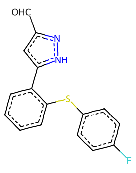 O=Cc1cc(-c2ccccc2Sc2ccc(F)cc2)[nH]n1